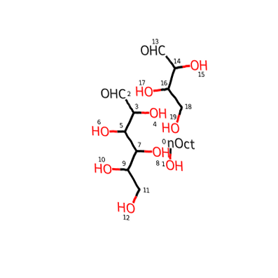 CCCCCCCCO.O=CC(O)C(O)C(O)C(O)CO.O=CC(O)C(O)CO